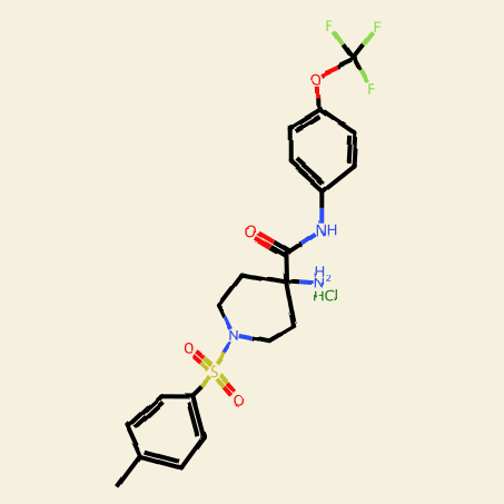 Cc1ccc(S(=O)(=O)N2CCC(N)(C(=O)Nc3ccc(OC(F)(F)F)cc3)CC2)cc1.Cl